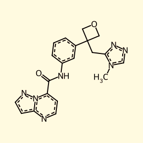 Cn1cnnc1CC1(c2cccc(NC(=O)c3ccnc4ccnn34)c2)COC1